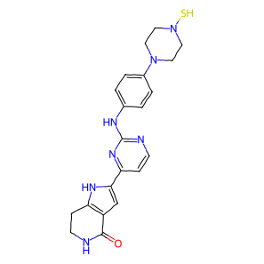 O=C1NCCc2[nH]c(-c3ccnc(Nc4ccc(N5CCN(S)CC5)cc4)n3)cc21